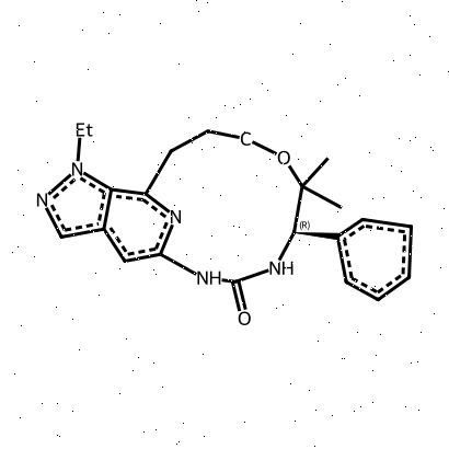 CCn1ncc2cc3nc(c21)CCCOC(C)(C)[C@@H](c1ccccc1)NC(=O)N3